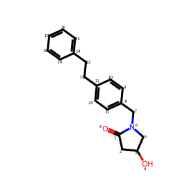 O=C1CC(O)CN1Cc1ccc(CCc2ccccc2)cc1